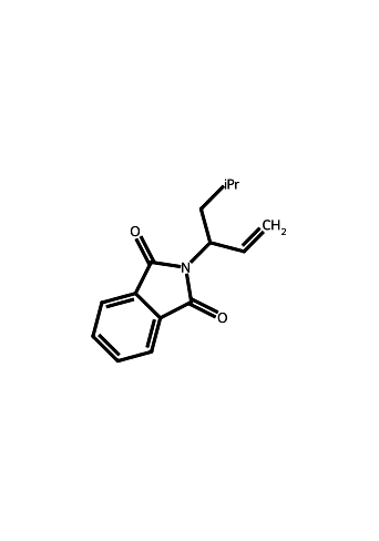 C=CC(CC(C)C)N1C(=O)c2ccccc2C1=O